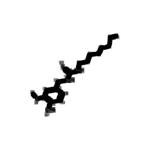 CCCCCCCCNC(=S)NCc1ccc(O)c(OC)c1